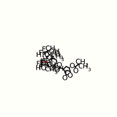 C=C(C)C(=O)OC1CC(C(=O)OC(CC(C)(C)OC(C)(C)C(C)(O)C(F)(F)F)C(C)(C)OC(C)(C)C(O)(C(F)(F)F)C(F)(F)F)C2CC1OC2=O